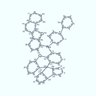 c1ccc(-c2ccc(N(c3cccc4c3Oc3ccccc3C43c4ccccc4-c4ccccc43)c3cccc4c3oc3c5ccccc5ccc43)cc2)cc1